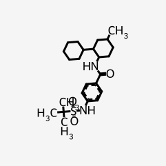 CC1CCC(NC(=O)c2ccc(NS(=O)(=O)C(C)(C)C)cc2)C(C2CCCCC2)C1